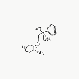 CCCC1CCNC[C@H]1OCC(O)(c1ccccc1)C1CC1